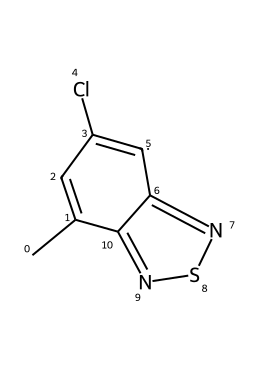 Cc1cc(Cl)[c]c2nsnc12